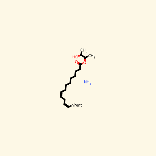 CCCCC/C=C\C/C=C\CCCCCCCC(=O)OC(C)C(C)O.N